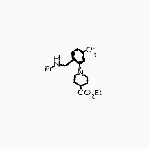 CCOC(=O)C1CCN(c2cc(C(F)(F)F)ccc2CNC(C)C)CC1